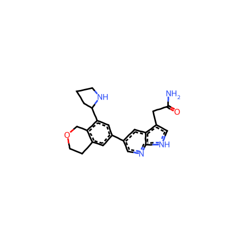 NC(=O)Cc1c[nH]c2ncc(-c3cc4c(c(C5CCCN5)c3)COCC4)cc12